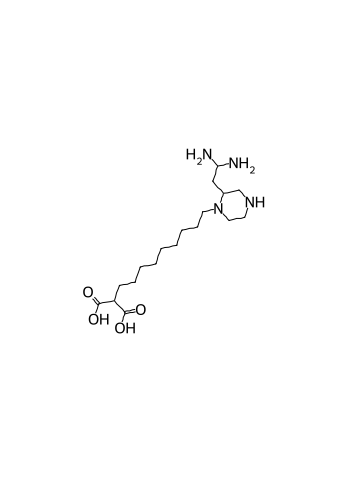 NC(N)CC1CNCCN1CCCCCCCCCC(C(=O)O)C(=O)O